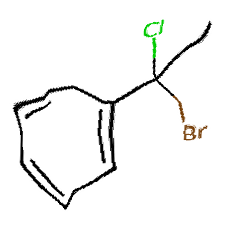 CC(Cl)(Br)c1ccccc1